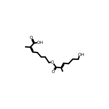 CC(=CCCCCOC(=O)C(C)=CCCCO)C(=O)O